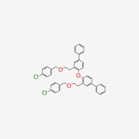 Clc1ccc(COCCc2cc(-c3ccccc3)ccc2Oc2ccc(-c3ccccc3)cc2CCOCc2ccc(Cl)cc2)cc1